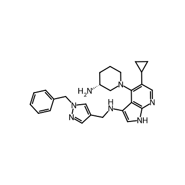 N[C@@H]1CCCN(c2c(C3CC3)cnc3[nH]cc(NCc4cnn(Cc5ccccc5)c4)c23)C1